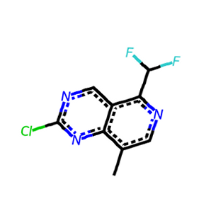 Cc1cnc(C(F)F)c2cnc(Cl)nc12